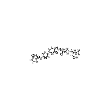 O=C(Nc1nc2ccc(-c3cnc(CO[C@H]4CCC[C@@H]4O)nc3)cc2s1)C1CC(NC(CO)C2CC2)C1